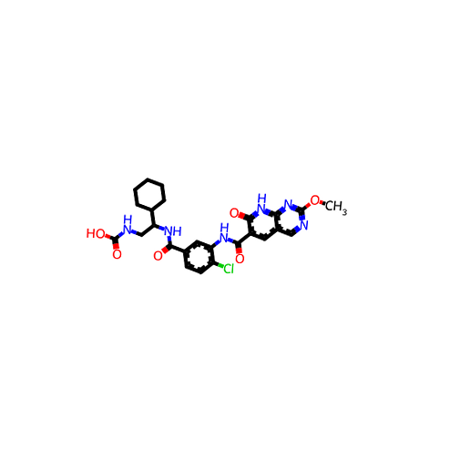 COc1ncc2cc(C(=O)Nc3cc(C(=O)NC(CNC(=O)O)C4CCCCC4)ccc3Cl)c(=O)[nH]c2n1